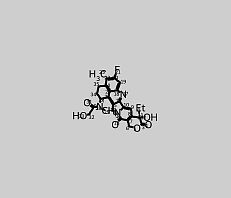 CC[C@@]1(O)C(=O)OCc2c1cc1n(c2=O)Cc2c-1nc1cc(F)c(C)c3c1c2[C@@H](N(C)C(=O)CO)CC3